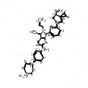 C=CCn1c(=O)c2cnc(Nc3ccc(N4CCN(C)CC4)cc3)nc2n1-c1cccc(N2CC(N)C3(CC3)C2)n1